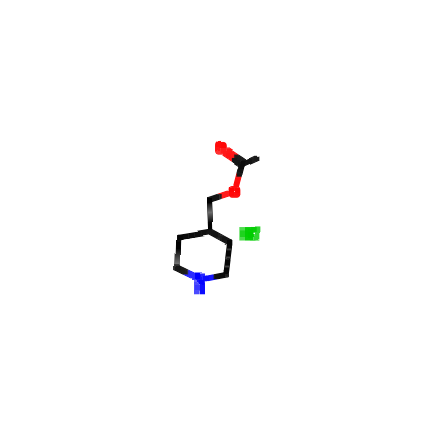 CC(=O)OCC1CCNCC1.Cl